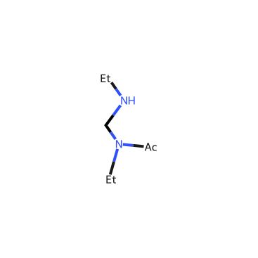 CCNCN(CC)C(C)=O